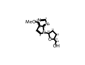 COc1ncnc2c1ccn2C1CCC(CO)O1